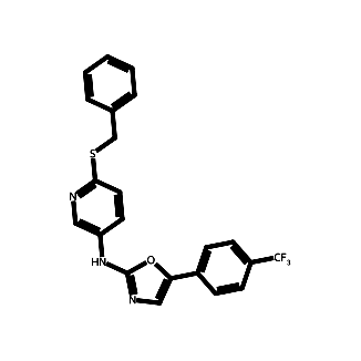 FC(F)(F)c1ccc(-c2cnc(Nc3ccc(SCc4ccccc4)nc3)o2)cc1